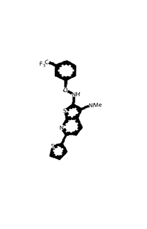 CNc1c(NOc2cccc(C(F)(F)F)c2)sc2nc(-c3cccs3)ccc12